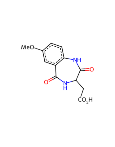 COc1ccc2c(c1)C(=O)NC(CC(=O)O)C(=O)N2